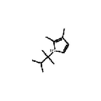 CC1=C(C)[SiH](C(C)(C)C(C)C)C=C1